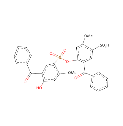 COc1cc(OS(=O)(=O)c2cc(C(=O)c3ccccc3)c(O)cc2OC)c(C(=O)c2ccccc2)cc1S(=O)(=O)O